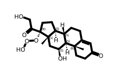 C[C@]12CCC(=O)C=C1CC[C@@H]1[C@@H]2[C@@H](O)C[C@@]2(C)[C@H]1CC[C@]2(OOO)C(=O)CO